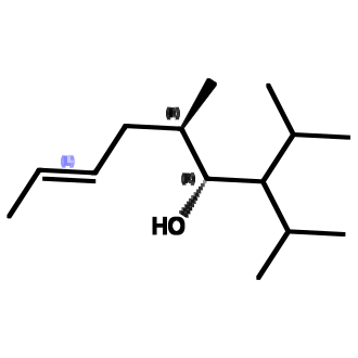 C/C=C/C[C@@H](C)[C@@H](O)C(C(C)C)C(C)C